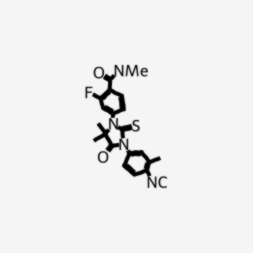 [C-]#[N+]c1ccc(N2C(=O)C(C)(C)N(c3ccc(C(=O)NC)c(F)c3)C2=S)cc1C